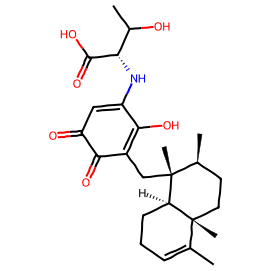 CC1=CCC[C@H]2[C@](C)(CC3=C(O)C(N[C@H](C(=O)O)C(C)O)=CC(=O)C3=O)[C@@H](C)CC[C@]12C